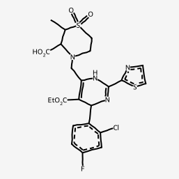 CCOC(=O)C1=C(CN2CCS(=O)(=O)C(C)C2C(=O)O)NC(c2nccs2)=NC1c1ccc(F)cc1Cl